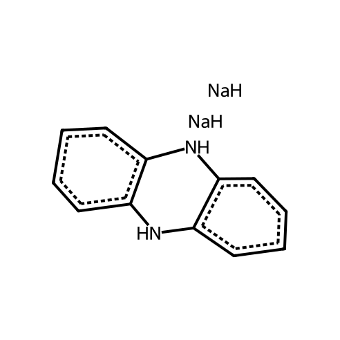 [NaH].[NaH].c1ccc2c(c1)Nc1ccccc1N2